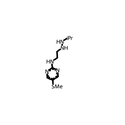 CSc1cnc(NCCNNC(C)C)nc1